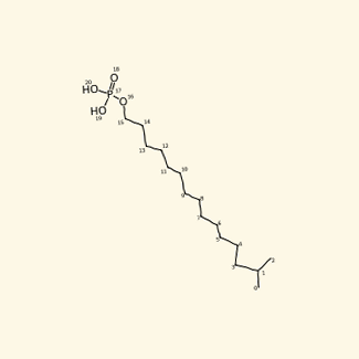 CC(C)CCCCCCCCCCCCCOP(=O)(O)O